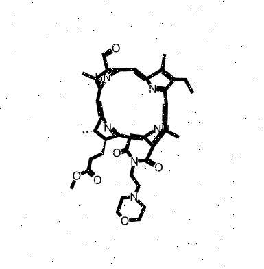 CCC1=C(C)c2cc3[nH]c(cc4nc(c5c6[nH]c(cc1n2)c(C)c6C(=O)N(CCN1CCOCC1)C5=O)[C@@H](CCC(=O)OC)[C@@H]4C)c(C)c3C=O